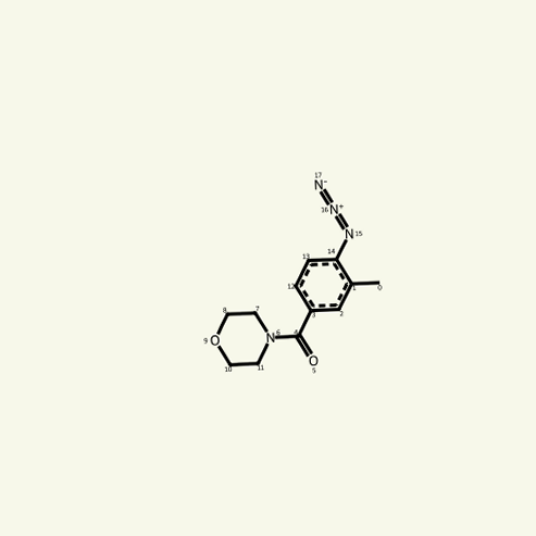 Cc1cc(C(=O)N2CCOCC2)ccc1N=[N+]=[N-]